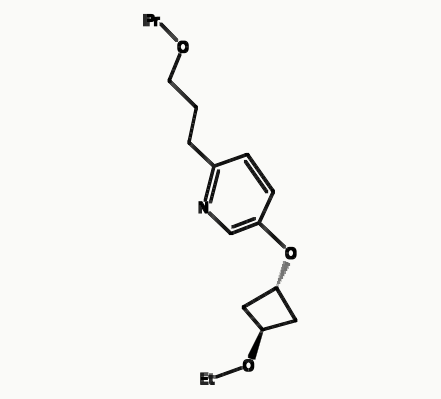 CCO[C@H]1C[C@H](Oc2ccc(CCCOC(C)C)nc2)C1